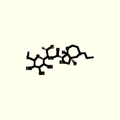 CCCN1CCO[C@@H]2[C@H](CN[C@@H]2C(=O)N[C@H]([C@H](C)Cl)[C@H]2OC(SC)[C@H](O)C(O)C2O)C1